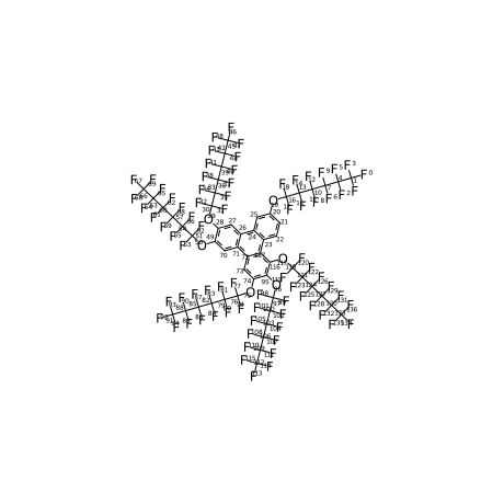 FC(F)(F)C(F)(F)C(F)(F)C(F)(F)C(F)(F)C(F)(F)Oc1ccc2c(c1)c1cc(OC(F)(F)C(F)(F)C(F)(F)C(F)(F)C(F)(F)C(F)(F)F)c(OC(F)(F)C(F)(F)C(F)(F)C(F)(F)C(F)(F)C(F)(F)F)cc1c1cc(OC(F)(F)C(F)(F)C(F)(F)C(F)(F)C(F)(F)C(F)(F)F)c(OC(F)(F)C(F)(F)C(F)(F)C(F)(F)C(F)(F)C(F)(F)F)c(OC(F)(F)C(F)(F)C(F)(F)C(F)(F)C(F)(F)C(F)(F)F)c21